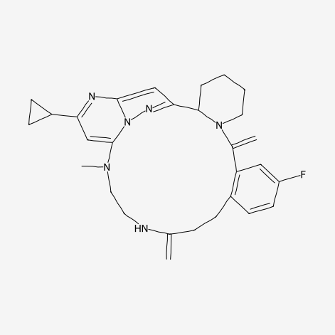 C=C1CCc2ccc(F)cc2C(=C)N2CCCCC2c2cc3nc(C4CC4)cc(n3n2)N(C)CCN1